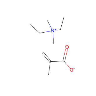 C=C(C)C(=O)[O-].CC[N+](C)(C)CC